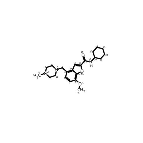 COc1ccc(CN2CCN(C)CC2)c2cc(C(=O)NC3CCCCC3)oc12